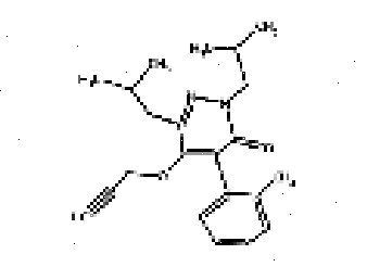 C#CCOc1c(CC(C)C)nn(CC(C)C)c(=O)c1-c1ccccc1C